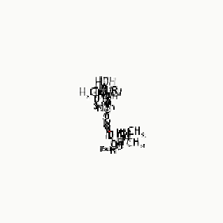 CC[C@H](C)n1ncc2c(C(=O)NCc3c(C)cc(C)[nH]c3=O)cc(-c3ccc(N4CCN(CCOCCOCCOCC(=O)N[C@H](C(=O)N5C[C@H](O)C[C@H]5C(=O)N[C@@H](C)c5ccc(-c6scnc6C)cc5)C(C)(C)C)CC4)nc3)cc21